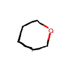 [CH]1CCCOC1